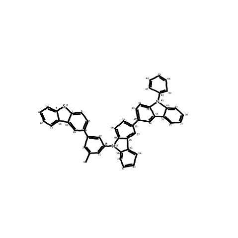 Cc1cc(-c2ccc3sc4ccccc4c3c2)cc(-n2c3ccccc3c3cc(-c4ccc5c(c4)c4ccccc4n5-c4ccccc4)ccc32)c1